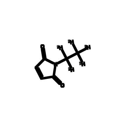 [2H]C([2H])([2H])C([2H])([2H])N1C(=O)C=CC1=O